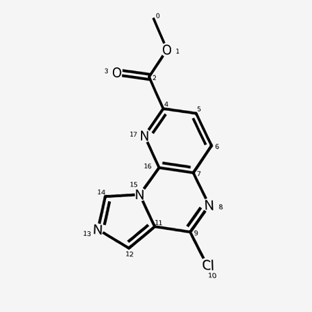 COC(=O)c1ccc2nc(Cl)c3cncn3c2n1